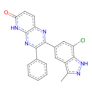 Cc1n[nH]c2c(Cl)cc(-c3nc4ccc(=O)[nH]c4nc3-c3ccccc3)cc12